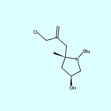 C=C(CCl)C[C@@]1(C)C[C@H](O)CN1C(C)(C)C